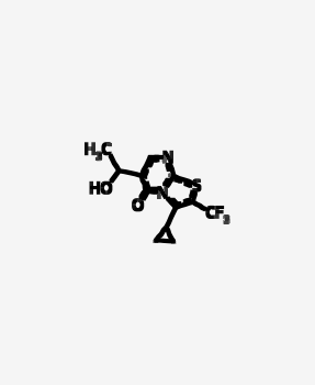 CC(O)c1cnc2sc(C(F)(F)F)c(C3CC3)n2c1=O